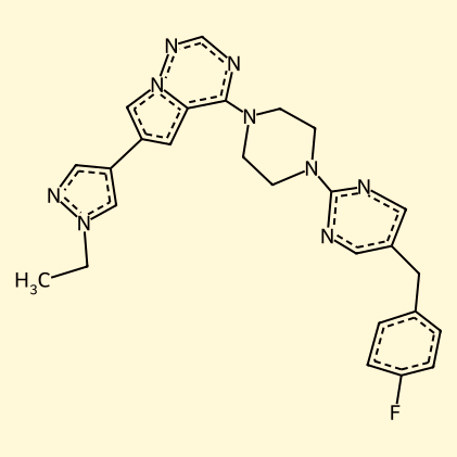 CCn1cc(-c2cc3c(N4CCN(c5ncc(Cc6ccc(F)cc6)cn5)CC4)ncnn3c2)cn1